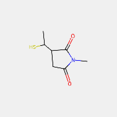 CC(S)C1CC(=O)N(C)C1=O